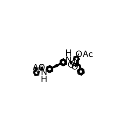 CC(=O)O[C@@H]1C[C@@H](C(=O)Nc2ccc(C#Cc3ccc(NC(=O)[C@@H]4CCCN4C(C)=O)cc3)cc2)N(C(=O)Cc2ccccc2)C1